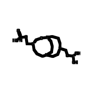 O=[PH](O)OCN1CCCN2CCCN(CCCN(COP(O)O)CC2)CC1